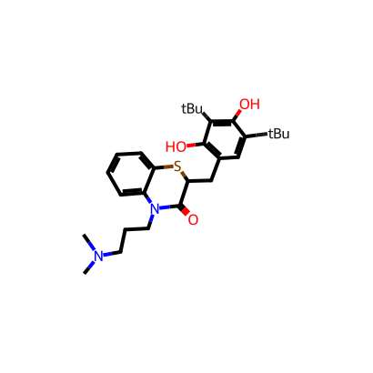 CN(C)CCCN1C(=O)C(Cc2cc(C(C)(C)C)c(O)c(C(C)(C)C)c2O)Sc2ccccc21